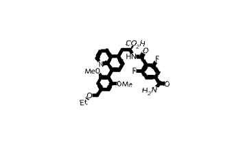 CCOCc1cc(OC)c(-c2ccc(C[C@H](NC(=O)c3c(F)cc(C(N)=O)cc3F)C(=O)O)c3cccnc23)c(OC)c1